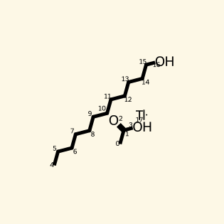 CC(=O)O.CCCCCCCCCCCCO.[Tl]